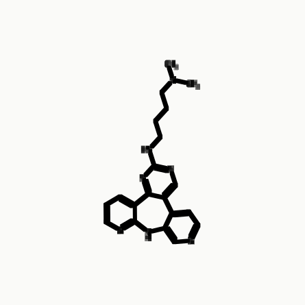 CN(C)CCCCNc1ncc2c(n1)-c1cccnc1Nc1cnccc1-2